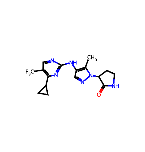 Cc1c(Nc2ncc(C(F)(F)F)c(C3CC3)n2)cnn1[C@H]1CCNC1=O